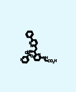 O=C(O)CNc1cccc(C(Cc2ccc(-c3ccccc3)nn2)NS(=O)(=O)c2cccnc2)n1